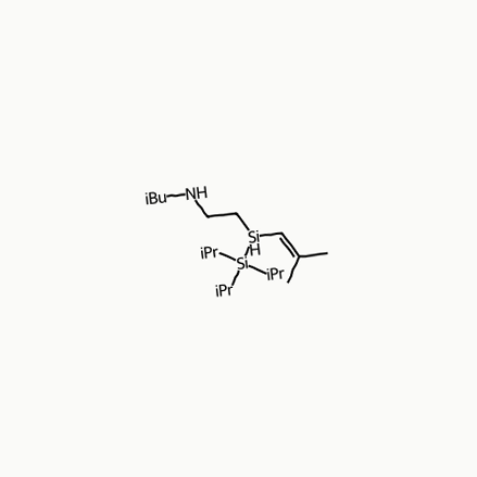 CCC(C)NCC[SiH](C=C(C)C)[Si](C(C)C)(C(C)C)C(C)C